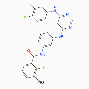 Cc1cc(Nc2cc(Nc3cccc(NC(=O)c4cccc(N=O)c4F)c3)ncn2)ccc1F